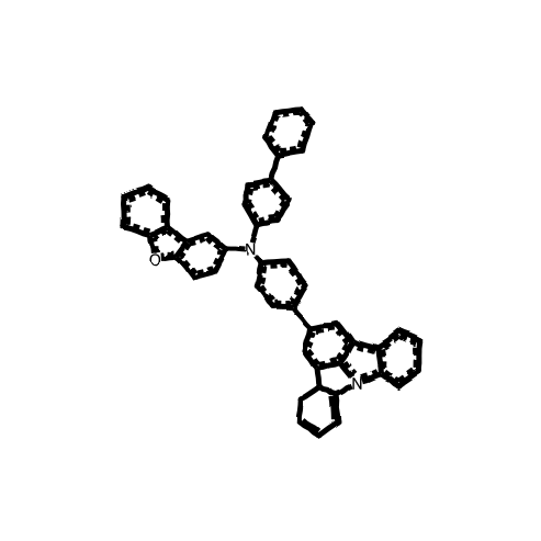 C1=CCC2C(=C1)n1c3ccccc3c3cc(-c4ccc(N(c5ccc(-c6ccccc6)cc5)c5ccc6oc7ccccc7c6c5)cc4)cc2c31